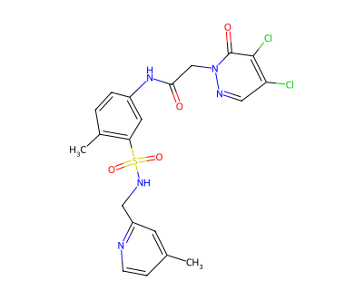 Cc1ccnc(CNS(=O)(=O)c2cc(NC(=O)Cn3ncc(Cl)c(Cl)c3=O)ccc2C)c1